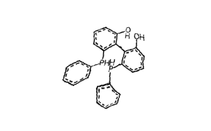 Oc1cccc(Pc2ccccc2)c1-c1c(O)cccc1Pc1ccccc1